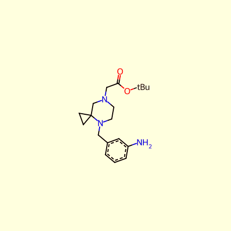 CC(C)(C)OC(=O)CN1CCN(Cc2cccc(N)c2)C2(CC2)C1